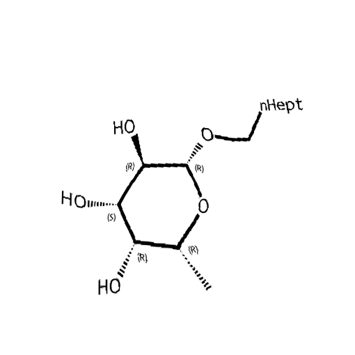 CCCCCCCCO[C@@H]1O[C@H](C)[C@H](O)[C@H](O)[C@H]1O